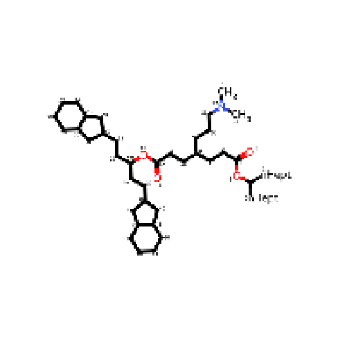 CCCCCCCC(CCCCCCC)OC(=O)CCC(CCCN(C)C)CCC(=O)OC(CCC1CC2CCCCC2C1)CCC1CC2CCCCC2C1